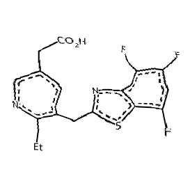 CCc1ncc(CC(=O)O)cc1Cc1nc2c(F)c(F)cc(F)c2s1